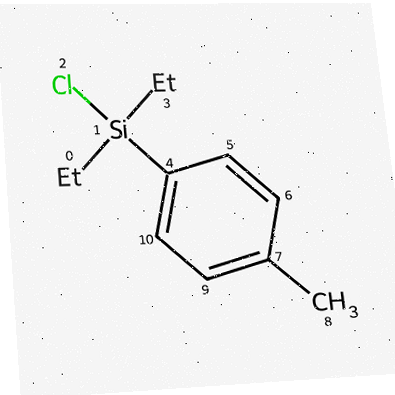 CC[Si](Cl)(CC)c1ccc(C)cc1